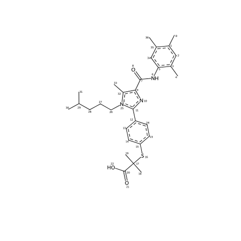 Cc1cc(C)c(NC(=O)c2nc(-c3ccc(SC(C)(C)C(=O)O)cc3)n(CCCC(C)C)c2C)cc1C